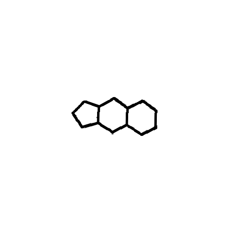 [CH]1C2CCCCC2CC2CCCC12